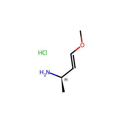 COC=C[C@@H](C)N.Cl